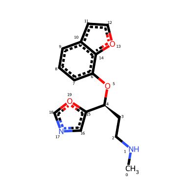 CNCC[C@H](Oc1cccc2ccoc12)c1cnco1